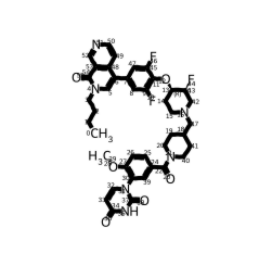 CCCCn1cc(-c2cc(F)c(O[C@@H]3CCN(CC4CCN(C(=O)c5ccc(OC)c(-n6ccc(=O)[nH]c6=O)c5)CC4)C[C@H]3F)c(F)c2)c2ccncc2c1=O